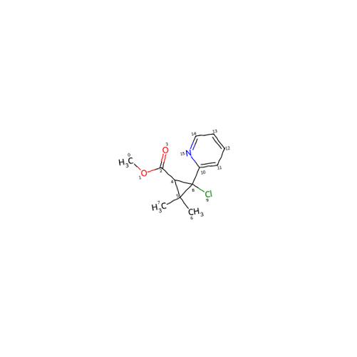 COC(=O)C1C(C)(C)C1(Cl)c1ccccn1